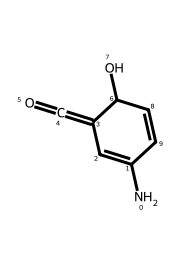 NC1=CC(=C=O)C(O)C=C1